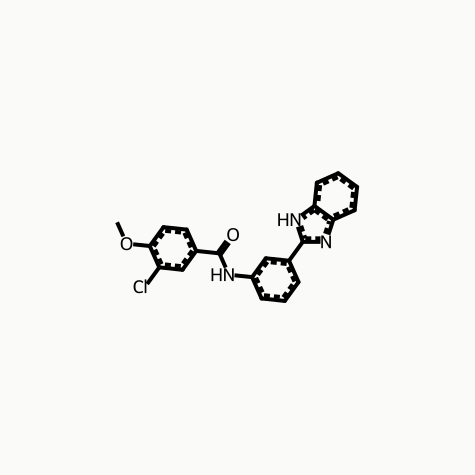 COc1ccc(C(=O)Nc2cccc(-c3nc4ccccc4[nH]3)c2)cc1Cl